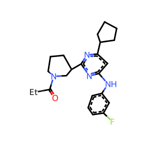 CCC(=O)N1CCCC(c2nc(Nc3cccc(F)c3)cc(C3CCCC3)n2)C1